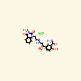 Cl.Cn1c(=O)c2ccccc2n(CCCNCC(O)c2ccc(O)c(C(N)=O)c2)c1=O